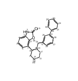 O=c1[nH]c2cccc(C3CNCCN3Cc3cccc(-c4ccccc4)c3)c2o1